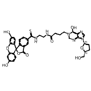 O=C(CCCN1CN=c2c(ncn2[C@H]2CC[C@@H](CO)O2)=C1O)NCCNC(=S)c1ccc2c(c1)C(=O)OC21c2ccc(O)cc2Oc2cc(O)ccc21